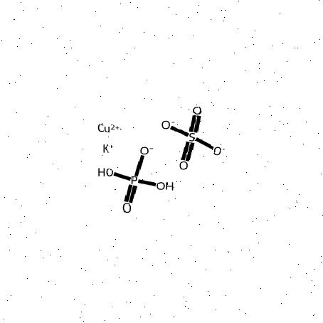 O=P([O-])(O)O.O=S(=O)([O-])[O-].[Cu+2].[K+]